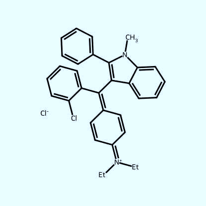 CC[N+](CC)=C1C=CC(=C(c2ccccc2Cl)c2c(-c3ccccc3)n(C)c3ccccc23)C=C1.[Cl-]